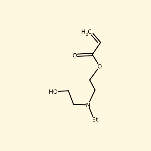 C=CC(=O)OCCN(CC)CCO